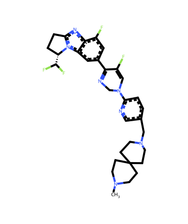 CN1CCC2(CC1)CCN(Cc1ccc(N3C=C(F)C(c4cc(F)c5nc6n(c5c4)[C@H](C(F)F)CC6)=NC3)nc1)CC2